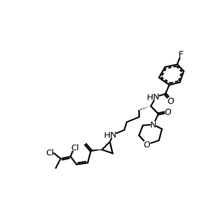 C=C(/C=C\C(Cl)=C(/C)Cl)[C@@H]1CC1NCCCC[C@H](NC(=O)c1ccc(F)cc1)C(=O)N1CCOCC1